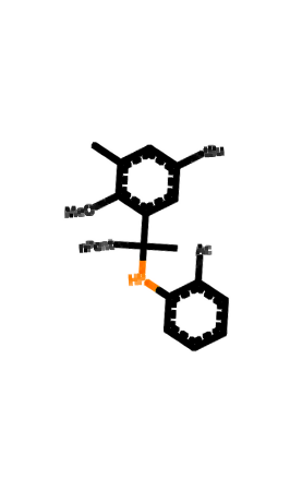 CCCCCC(C)(Pc1ccccc1C(C)=O)c1cc(C(C)(C)C)cc(C)c1OC